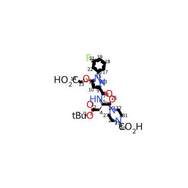 CC(C)(C)OC(=O)C[C@H](NC(=O)c1cc(OCC(=O)O)n(-c2cccc(F)c2)n1)C(=O)N1CCN(C(=O)O)CC1